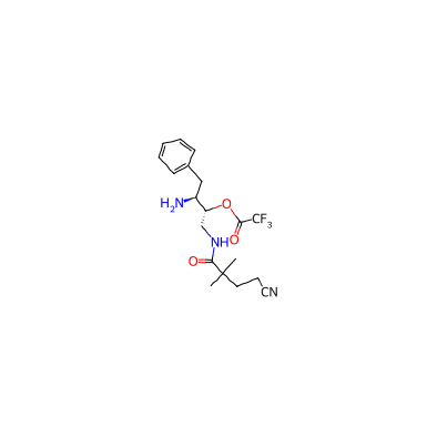 CC(C)(CCC#N)C(=O)NC[C@@H](OC(=O)C(F)(F)F)[C@@H](N)Cc1ccccc1